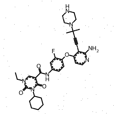 CCn1cc(C(=O)Nc2ccc(Oc3ccnc(N)c3C#CC(C)(C)N3CCNCC3)c(F)c2)c(=O)n(C2CCCCC2)c1=O